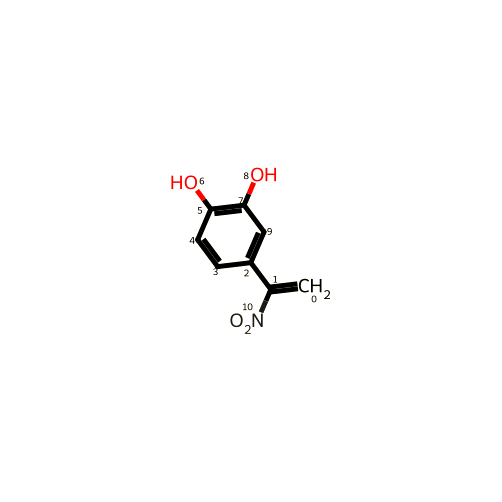 C=C(c1ccc(O)c(O)c1)[N+](=O)[O-]